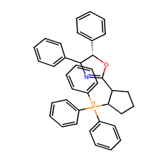 c1ccc(C2N=C(C3CCCC3[PH](c3ccccc3)(c3ccccc3)c3ccccc3)O[C@H]2c2ccccc2)cc1